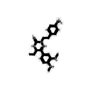 CCC1OC(=O)N(CCc2ccc(N)cc2)N=C1c1ccc(OC)c(OC)c1